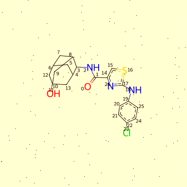 O=C(NC1C2CC3CC1CC(O)(C3)C2)c1csc(Nc2ccc(Cl)cc2)n1